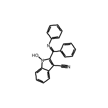 N#Cc1c(/C(=N/c2ccccc2)c2ccccc2)n(O)c2ccccc12